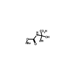 CCCCOC(=O)NC(O)(CCC)C(=O)O